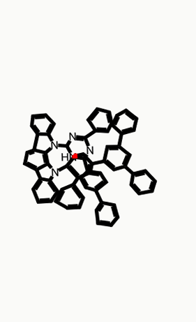 c1ccc(C2=NC(n3c4ccccc4c4ccc5c6ccccc6n(-c6ccc(-c7cc(-c8ccccc8)cc(-c8ccccc8)c7)cc6-c6ccccc6)c5c43)NC(c3ccc(-c4ccccc4)cc3)=N2)cc1